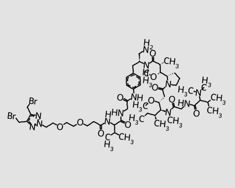 CC[C@H](C)[C@@H]([C@@H](CC(=O)N1CCC[C@H]1[C@H](OC)[C@@H](C)C(=O)N[C@H](CN)Cc1ccc(NC(=O)CNC(=O)C(NC(=O)CCOCCOCCn2nc(CBr)c(CBr)n2)C(C)C)cc1)OC)N(C)C(=O)CNC(=O)C(C(C)C)N(C)C